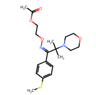 CSc1ccc(C(=NOCCOC(C)=O)C(C)(C)N2CCOCC2)cc1